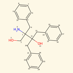 NC(CO)(Cc1ccccc1)C(O)(Cc1ccccc1)Cc1ccccc1